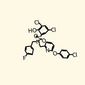 O=S(=O)(c1cc(Cl)cc(Cl)c1O)N(Cc1ccc(F)cc1)Cc1cccc(Oc2ccc(Cl)cc2)n1